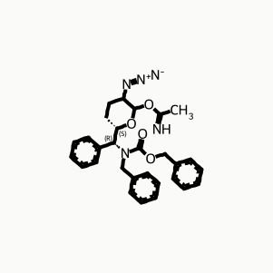 CC(=N)OC1O[C@H]([C@@H](c2ccccc2)N(Cc2ccccc2)C(=O)OCc2ccccc2)CCC1N=[N+]=[N-]